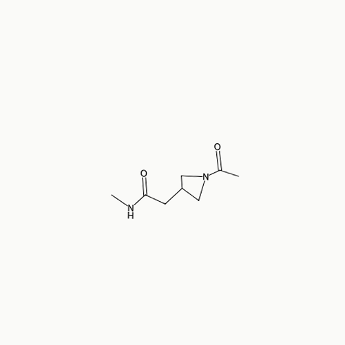 CNC(=O)CC1CN(C(C)=O)C1